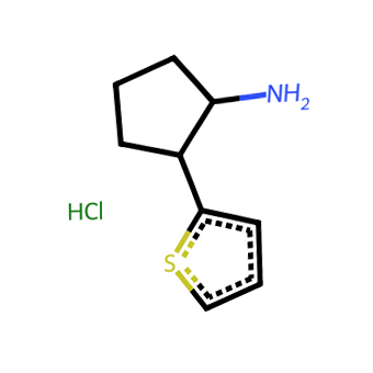 Cl.NC1CCCC1c1cccs1